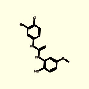 COc1ccc(O)c(NC(=S)Nc2ccc(Cl)c(Cl)c2)c1